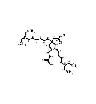 CCN(CC)CCCCCCC(CCCCCCN(CC)CC)(CC(=O)O)SSCCC(=O)O